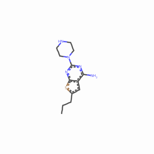 CCCc1cc2c(N)nc(N3CCNCC3)nc2s1